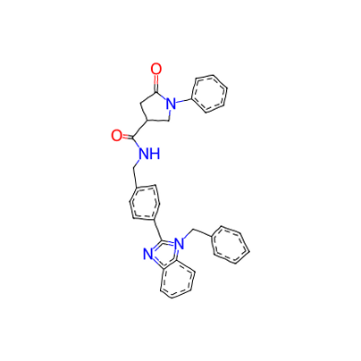 O=C(NCc1ccc(-c2nc3ccccc3n2Cc2ccccc2)cc1)C1CC(=O)N(c2ccccc2)C1